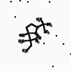 BC(B)(B)N1CCC(O)(C(C)(C)CC)C1=O